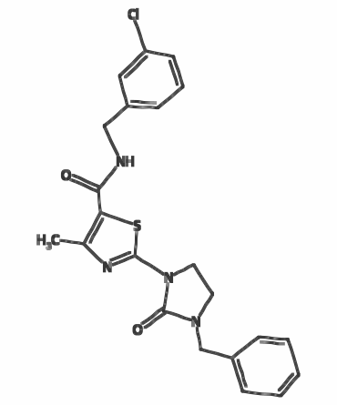 Cc1nc(N2CCN(Cc3ccccc3)C2=O)sc1C(=O)NCc1cccc(Cl)c1